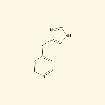 [c]1nc(Cc2ccncc2)c[nH]1